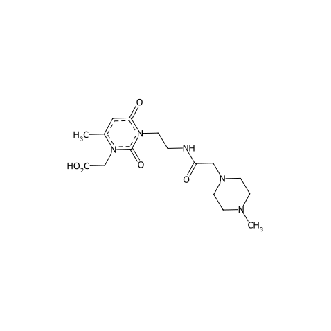 Cc1cc(=O)n(CCNC(=O)CN2CCN(C)CC2)c(=O)n1CC(=O)O